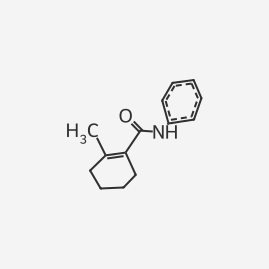 CC1=C(C(=O)Nc2ccccc2)CCCC1